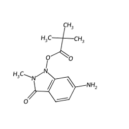 Cn1c(=O)c2ccc(N)cc2n1OC(=O)C(C)(C)C